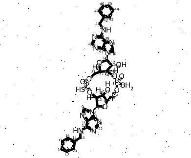 BP1(=O)OC[C@H]2O[C@@H](n3cnc4c(NCc5ccccc5)ncnc43)[C@H](OP(=O)(S)OC[C@H]3O[C@@H](n4cnc5c(NCc6ccccc6)ncnc54)[C@H](O)[C@@H]3O1)[C@@H]2O